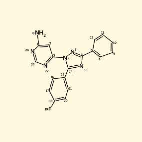 Nc1cc(-n2nc(-c3ccccc3)nc2-c2ccc(F)cc2)ncn1